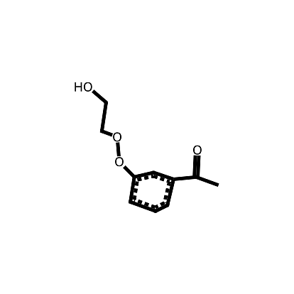 CC(=O)c1cccc(OOCCO)c1